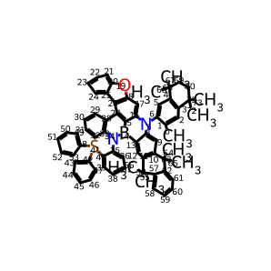 Cc1cc2c(cc1N1c3cc4c(cc3B3c5c1cc1oc6ccccc6c1c5-c1cccc5c1N3c1ccccc1S5(c1ccccc1)c1ccccc1)C(C)(C)c1ccccc1C4(C)C)C(C)(C)CCC2(C)C